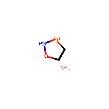 B.C1CPNO1